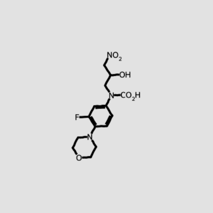 O=C(O)N(CC(O)C[N+](=O)[O-])c1ccc(N2CCOCC2)c(F)c1